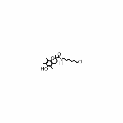 Cc1c(C)c2c(c(C)c1O)CCC(C)(C(=O)NCCCCCCCl)O2